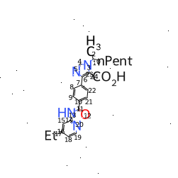 CCCCCC(C)n1cnc(-c2ccc(C(=O)Nc3cc(CC)ccn3)cc2)c1C(=O)O